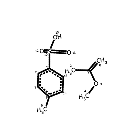 C=C(C)OC.Cc1ccc(S(=O)(=O)O)cc1